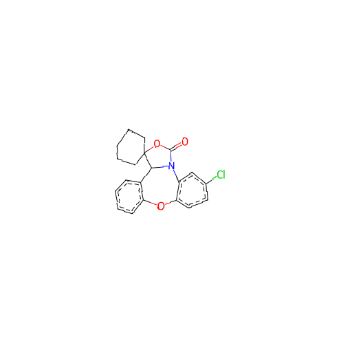 O=C1OC2(CCCCC2)C2c3ccccc3Oc3ccc(Cl)cc3N12